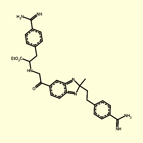 CCOC(=O)C(Cc1ccc(C(=N)N)cc1)NCC(=O)c1ccc2c(c1)=NC(C)(CCc1ccc(C(=N)N)cc1)N=2